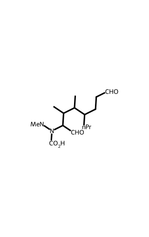 CCCC(CCC=O)C(C)C(C)C(C=O)N(NC)C(=O)O